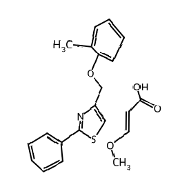 COC=CC(=O)O.Cc1ccccc1OCc1csc(-c2ccccc2)n1